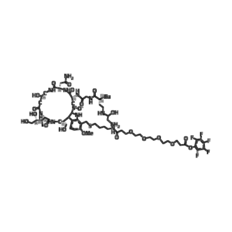 CC[C@H](C)[C@H](CCNC(O)CN)C(=O)NCC(=O)N[C@@H]1C[S+]([O-])C2Nc3c(ccc(OC)c3CSCCCCNC(=O)CCOCCOCCOCCOCCC(=O)Oc3c(F)c(F)c(F)c(F)c3F)C2[C@H](CO)CNC(=O)[C@H]([C@@H](C)[C@@H](O)CO)NC(=O)C[C@@H](O)CNC(=O)[C@H](CC(N)=O)NC1=O